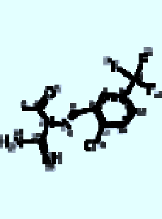 CC(=O)N(/N=C/c1cc(C(F)(F)F)ccc1Cl)C(=N)N